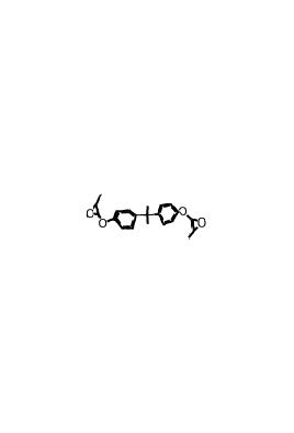 CC1OC1Oc1ccc(C(C)(C)c2ccc(OC3OC3C)cc2)cc1